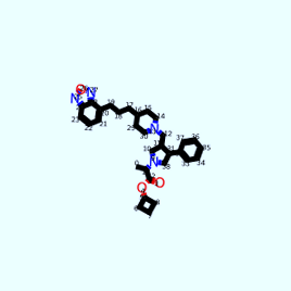 CC(C(=O)OC1CCC1)N1CC(CN2CCC(CCCc3cccc4nonc34)CC2)C(c2ccccc2)C1